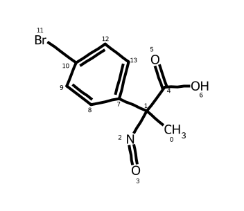 CC(N=O)(C(=O)O)c1ccc(Br)cc1